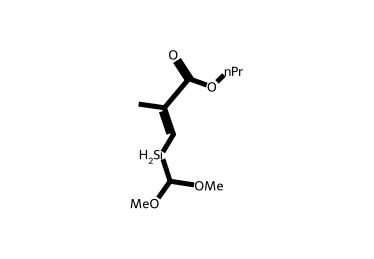 CCCOC(=O)C(C)=C[SiH2]C(OC)OC